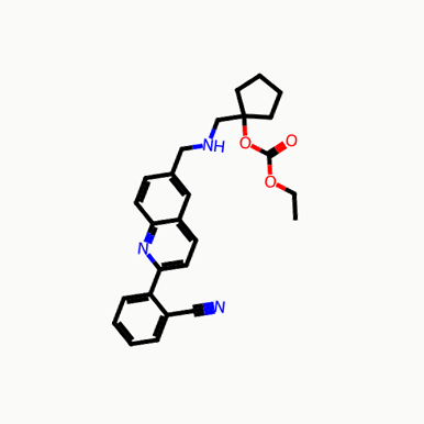 CCOC(=O)OC1(CNCc2ccc3nc(-c4ccccc4C#N)ccc3c2)CCCC1